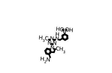 Cc1nc(NCc2cccc(B(O)O)c2)nc(N2c3cccc(CN)c3CC2C)n1